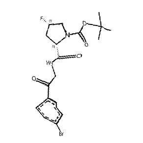 CC(C)(C)OC(=O)N1C[C@@H](F)C[C@H]1C(=O)NCC(=O)c1ccc(Br)cc1